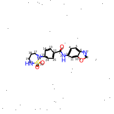 O=C(Nc1ccc2ncoc2c1)c1ccc(N2CCCNS2(=O)=O)cc1